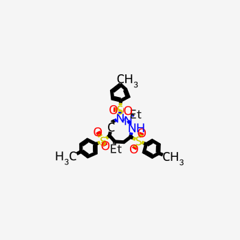 CCC1CC(S(=O)(=O)c2ccc(C)cc2)NN(CC)N(S(=O)(=O)c2ccc(C)cc2)CCC1S(=O)(=O)c1ccc(C)cc1